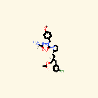 COc1ccc(CN(NC(=O)[C@H](C)N)C(=O)N2CCC[C@H]2/C=C/[C@](C)(COC(C)=O)Cc2cccc(Cl)c2)cc1